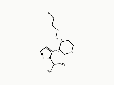 CC(C)n1nccc1[C@H]1COCC[C@H]1COCCI